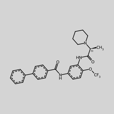 C[C@@H](C(=O)Nc1cc(NC(=O)c2ccc(-c3ccccc3)cc2)ccc1OC(F)(F)F)N1CCCCC1